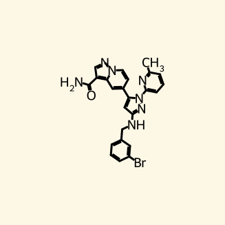 Cc1cccc(-n2nc(NCc3cccc(Br)c3)cc2-c2ccn3ncc(C(N)=O)c3c2)n1